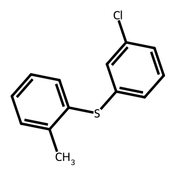 Cc1ccccc1Sc1cccc(Cl)c1